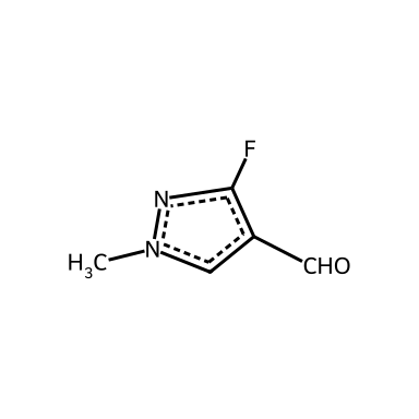 Cn1cc(C=O)c(F)n1